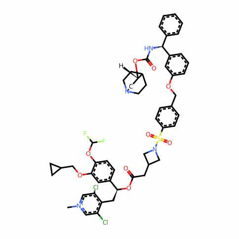 C[n+]1cc(Cl)c(C[C@H](OC(=O)CC2CN(S(=O)(=O)c3ccc(COc4cccc([C@@H](NC(=O)O[C@H]5CN6CCC5CC6)c5ccccc5)c4)cc3)C2)c2ccc(OC(F)F)c(OCC3CC3)c2)c(Cl)c1